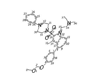 COCOc1ccc(-c2cccc3c2c(C)c(S(=O)(=O)N2CCN(c4ccccc4)CC2)n3CCN(C)C)cc1